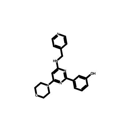 Oc1cccc(-c2nc(NCc3ccncc3)cc(N3CCOCC3)n2)c1